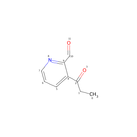 CCC(=O)c1cccnc1[C]=O